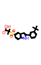 CC(C)(C)c1cccc(-c2cc3cc(S(=O)(=O)C(C)(C)C(=O)O)ccc3[nH]2)c1